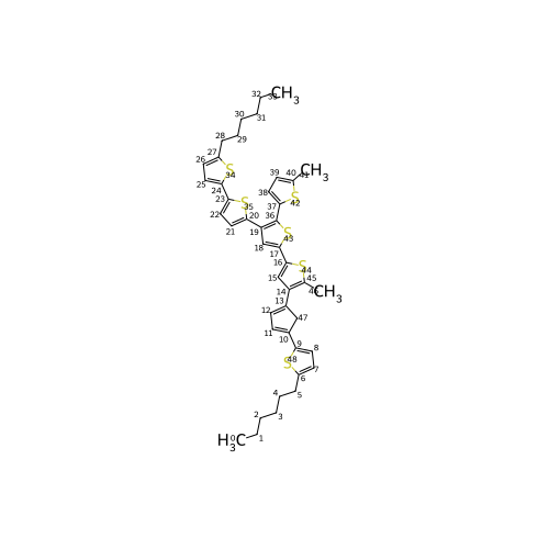 CCCCCCc1ccc(C2=CC=C(c3cc(-c4cc(-c5ccc(-c6ccc(CCCCCC)s6)s5)c(-c5ccc(C)s5)s4)sc3C)C2)s1